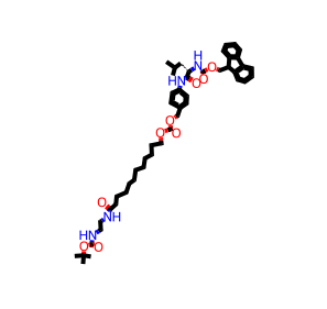 CC(C)C[C@H](NC(=O)OCC1c2ccccc2-c2ccccc21)C(=O)Nc1ccc(COC(=O)OCCCCCCCCCCCC(=O)NCCNC(=O)OC(C)(C)C)cc1